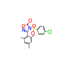 Cc1cc(C)c(-c2noc(=O)n2S(=O)(=O)c2ccc(Cl)cc2)c(C)c1